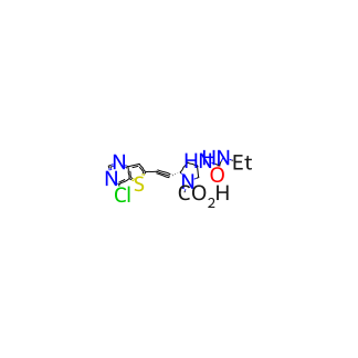 CCNC(=O)N[C@@H]1C[C@@H](C#Cc2cc3ncnc(Cl)c3s2)N(C(=O)O)C1